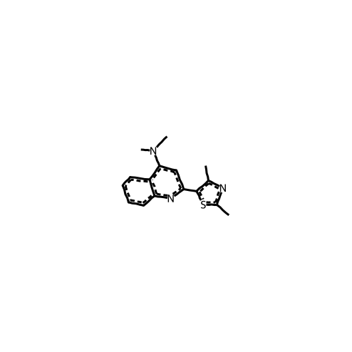 Cc1nc(C)c(-c2cc(N(C)C)c3ccccc3n2)s1